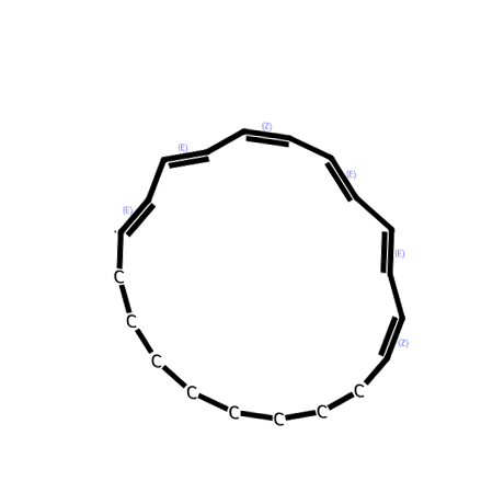 [C]1=C/C=C/C=C\C=C\C=C\C=C/CCCCCCCC/1